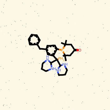 CC1(C)CC(=O)CC(C)(C)P1c1ccc(Cc2ccccc2)cc1C(P)(C1NCCCN1)C1NCCCN1